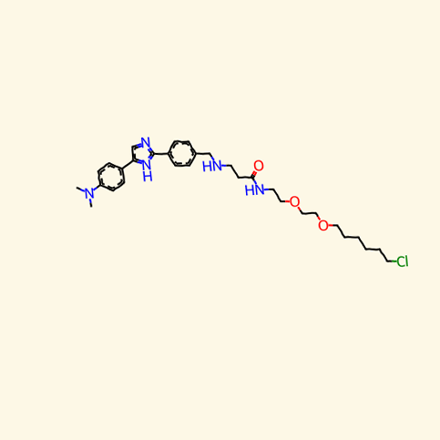 CN(C)c1ccc(-c2cnc(-c3ccc(CNCCC(=O)NCCOCCOCCCCCCCl)cc3)[nH]2)cc1